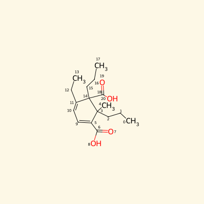 CCCC1(C)C(C(=O)O)=CC=C(CC)C1(CCC)C(=O)O